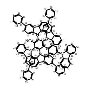 N#Cc1c(-n2c3ccccc3c3cc(-c4ccccc4)ccc32)c(-n2c3ccccc3c3cc(-c4ccccc4)ccc32)c(-c2ccc(-n3c4ccccc4c4ccccc43)cc2)c(-n2c3ccccc3c3cc(-c4ccccc4)ccc32)c1-n1c2ccccc2c2cc(-c3ccccc3)ccc21